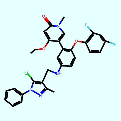 CCOc1cc(=O)n(C)cc1-c1cc(NCc2c(C)nn(-c3ccccc3)c2Cl)ccc1Oc1ccc(F)cc1F